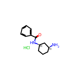 Cl.N[C@H]1CCC[C@@H](NC(=O)c2ccccc2)C1